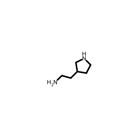 NCCC1CCNC1